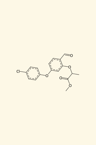 COC(=O)C(C)Oc1cc(Oc2ccc(Cl)cc2)ccc1C=O